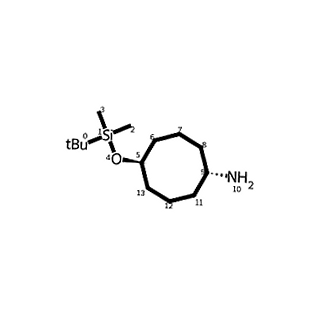 CC(C)(C)[Si](C)(C)O[C@H]1CCC[C@H](N)CCC1